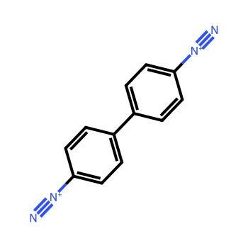 N#[N+]c1ccc(-c2ccc([N+]#N)cc2)cc1